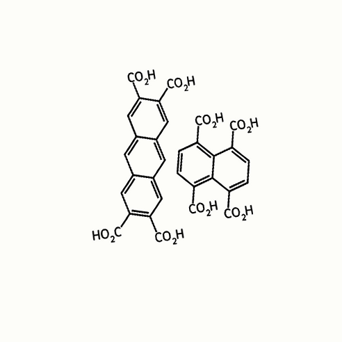 O=C(O)c1cc2cc3cc(C(=O)O)c(C(=O)O)cc3cc2cc1C(=O)O.O=C(O)c1ccc(C(=O)O)c2c(C(=O)O)ccc(C(=O)O)c12